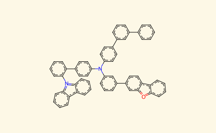 c1ccc(-c2cccc(-c3ccc(N(c4ccc(-c5ccccc5-n5c6ccccc6c6ccccc65)cc4)c4cccc(-c5ccc6c(c5)oc5ccccc56)c4)cc3)c2)cc1